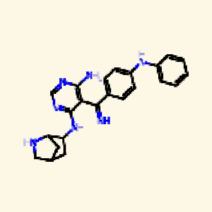 N=C(c1ccc(Nc2ccccc2)cc1)c1c(N)ncnc1NC1CC2CNC1C2